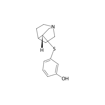 Oc1cccc(S[C@H]2CN3CCC2CC3)c1